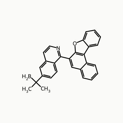 BC(C)(C)c1ccc2c(-c3cc4ccccc4c4c3oc3ccccc34)nccc2c1